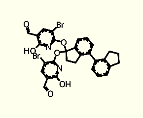 O=Cc1cc(Br)c(OC2(Oc3nc(O)c(C=O)cc3Br)CCc3c(-c4cccc5c4CCC5)cccc32)nc1O